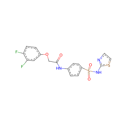 O=C(COc1ccc(F)c(F)c1)Nc1ccc(S(=O)(=O)Nc2nccs2)cc1